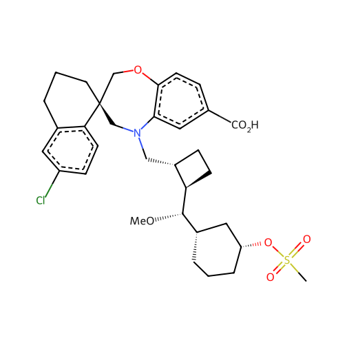 CO[C@@H]([C@H]1CCC[C@@H](OS(C)(=O)=O)C1)[C@@H]1CC[C@H]1CN1C[C@@]2(CCCc3cc(Cl)ccc32)COc2ccc(C(=O)O)cc21